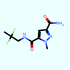 Cn1nc(C(N)=O)[c]c1C(=O)NCC(C)(F)F